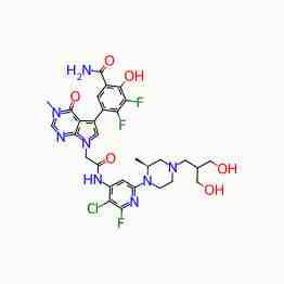 C[C@H]1CN(CC(CO)CO)CCN1c1cc(NC(=O)Cn2cc(-c3cc(C(N)=O)c(O)c(F)c3F)c3c(=O)n(C)cnc32)c(Cl)c(F)n1